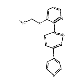 CCSc1cccnc1-c1ccc(-c2ccncc2)cn1